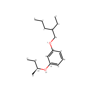 CCCC(CC)COc1cccc(O[C@@H](C)CC)c1